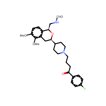 COc1ccc2c(c1OC)C[C@H](C1CCN(CCCC(=O)c3ccc(F)cc3)CC1)O[C@@H]2CNC=O